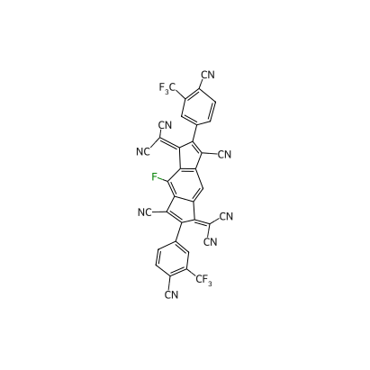 N#CC(C#N)=C1C(c2ccc(C#N)c(C(F)(F)F)c2)=C(C#N)c2c1cc1c(c2F)C(=C(C#N)C#N)C(c2ccc(C#N)c(C(F)(F)F)c2)=C1C#N